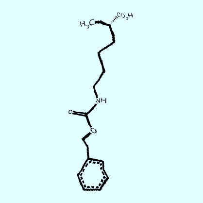 C[C@@H](CCCCNC(=O)OCc1ccccc1)C(=O)O